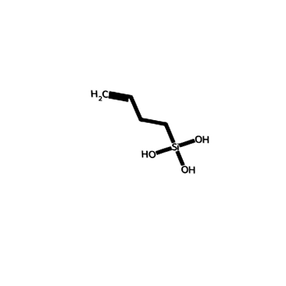 C=CCC[Si](O)(O)O